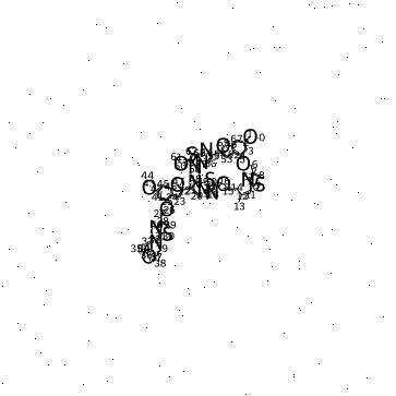 COc1cc(OCc2csc(CC(C)CCOc3nn4cc(-c5cc6c(OCc7csc(N8C[C@@H](C)O[C@@H](C)C8)n7)cc(OC)cc6o5)nc4s3)n2)c2cc(-c3cn4nc(OC)sc4n3)oc2c1